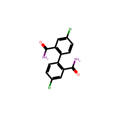 O=C(P)c1cc(Br)ccc1-c1ccc(Br)cc1C(=O)P